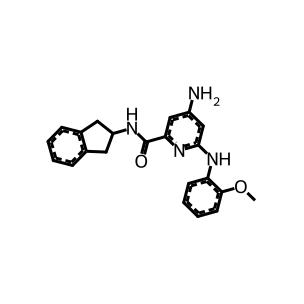 COc1ccccc1Nc1cc(N)cc(C(=O)NC2Cc3ccccc3C2)n1